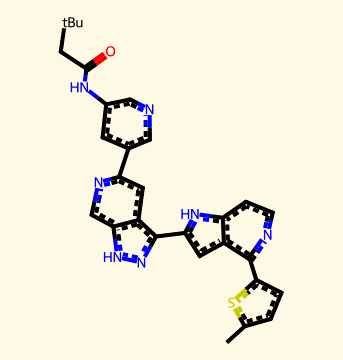 Cc1ccc(-c2nccc3[nH]c(-c4n[nH]c5cnc(-c6cncc(NC(=O)CC(C)(C)C)c6)cc45)cc23)s1